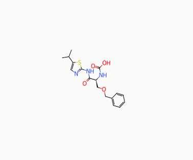 CC(C)c1cnc(NC(=O)[C@H](COCc2ccccc2)NC(=O)O)s1